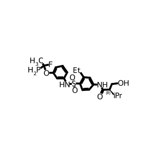 CCc1cc(NC(=O)[C@@H](CO)C(C)C)ccc1S(=O)(=O)Nc1cccc(OC(C)(F)P)c1